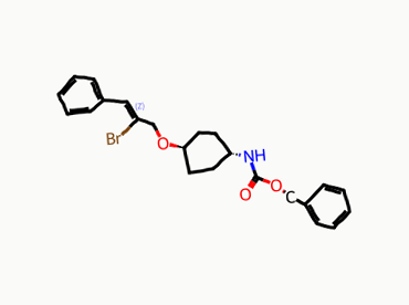 O=C(N[C@H]1CC[C@H](OC/C(Br)=C/c2ccccc2)CC1)OCc1ccccc1